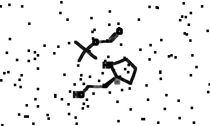 CC(C)(C)OC=O.OCC[C@@H]1CCCN1